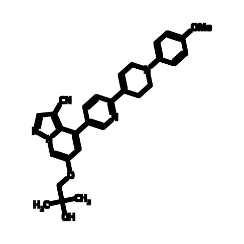 COc1ccc(N2CC=C(c3ccc(-c4cc(OCC(C)(C)O)cn5ncc(C#N)c45)cn3)CC2)cc1